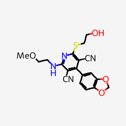 COCCNc1nc(SCCO)c(C#N)c(-c2ccc3c(c2)OCO3)c1C#N